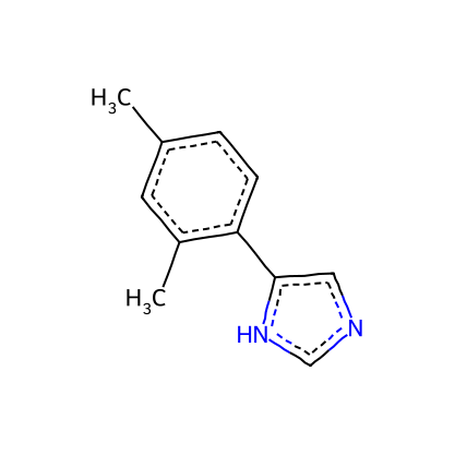 Cc1ccc(-c2cnc[nH]2)c(C)c1